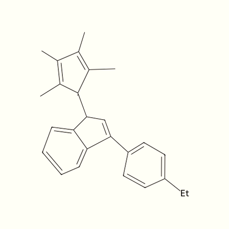 CCc1ccc(C2=CC([C]3C(C)=C(C)C(C)=C3C)c3ccccc32)cc1